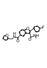 CNC(=O)c1c(-c2ccc(F)cc2)oc2ccc(C(=O)NCc3ccco3)cc12